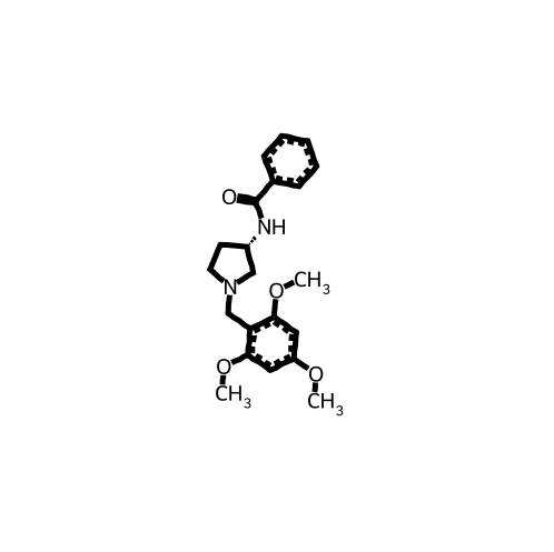 COc1cc(OC)c(CN2CC[C@H](NC(=O)c3ccccc3)C2)c(OC)c1